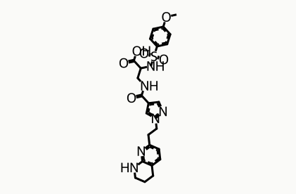 COc1ccc(S(=O)(=O)NC(CNC(=O)c2cnn(CCc3ccc4c(n3)NCCC4)c2)C(=O)O)cc1